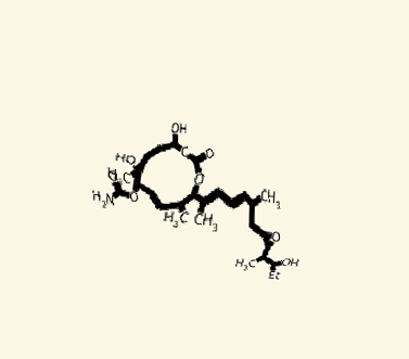 CCC(O)C(C)C1OC1CC(C)/C=C/C=C(\C)C1OC(=O)CC(O)CCC(C)(O)C(OC(N)=O)/C=C/C1C